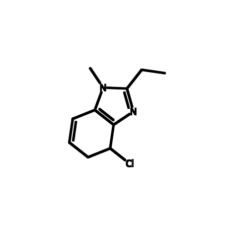 CCc1nc2c(n1C)C=CCC2Cl